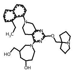 CCc1cccc2cccc(N3CCc4c(nc(OCC56CCCN5CCC6)nc4N4CCC(O)CC(CO)C4)C3)c12